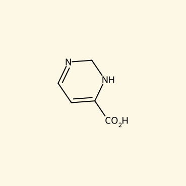 O=C(O)C1=CC=NCN1